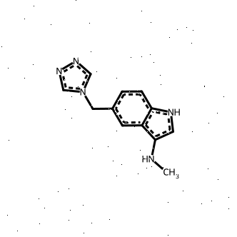 CNc1c[nH]c2ccc(Cn3cnnc3)cc12